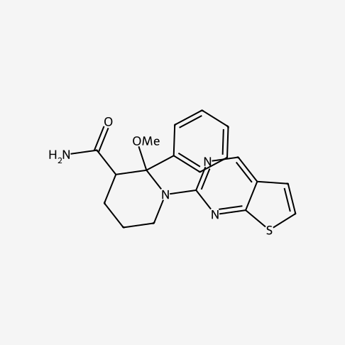 COC1(c2ccccc2)C(C(N)=O)CCCN1c1ncc2ccsc2n1